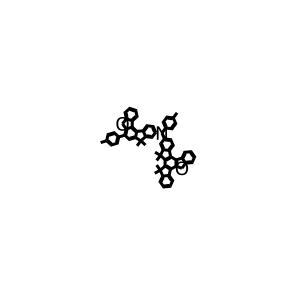 Cc1ccc(-c2cc3c(c4c2oc2ccccc24)-c2ccc(N(c4ccc(C)cc4)c4ccc5c(c4)C(C)(C)c4c6c(c7oc8ccccc8c7c4-5)-c4ccccc4C6(C)C)cc2C3(C)C)cc1